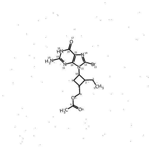 CCC1C(COC(C)=O)CC1n1c(Br)nc2c(=O)[nH]c(N)nc21